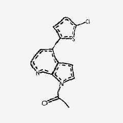 CC(=O)n1ccc2c(-c3ccc(Cl)s3)ccnc21